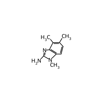 Cc1ccc2c(nc(N)n2C)c1C